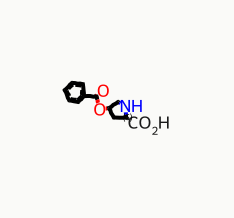 O=C(OC1CN[C@H](C(=O)O)C1)c1ccccc1